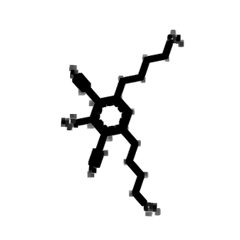 CCCCCc1cc(CCCCC)c(C#N)c(N)c1C#N